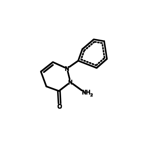 NN1C(=O)CC=CN1c1ccccc1